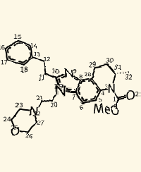 COC(=O)N1c2ccc3c(nc(CCc4ccccc4)n3CCN3CCOCC3)c2CC[C@@H]1C